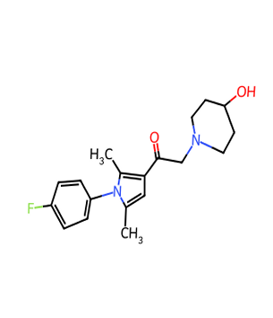 Cc1cc(C(=O)CN2CCC(O)CC2)c(C)n1-c1ccc(F)cc1